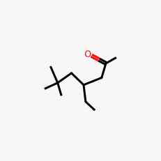 CCC(CC(C)=O)CC(C)(C)C